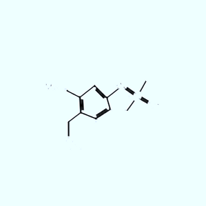 COc1cc(N=S(C)(C)=O)ccc1CC(=O)O